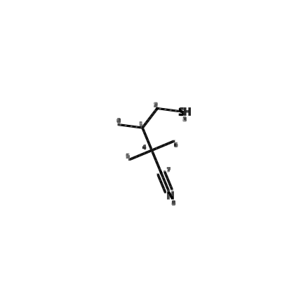 CC(CS)C(C)(C)C#N